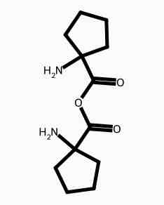 NC1(C(=O)OC(=O)C2(N)CCCC2)CCCC1